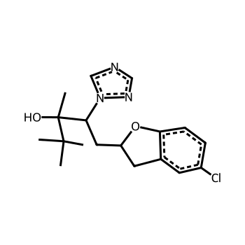 CC(C)(C)C(C)(O)C(CC1Cc2cc(Cl)ccc2O1)n1cncn1